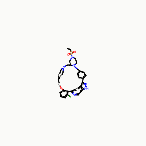 CCS(=O)(=O)N1CCN2c3ccc(cc3)-c3n[nH]c4cnc(cc34)-c3c(F)cccc3OCC3CCN(CC3)CC2C1